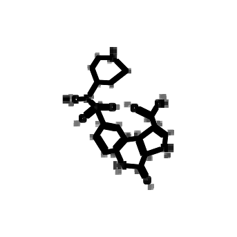 CN(C1CCNCC1)S(=O)(=O)c1ccc2[nH]c(=O)c3[nH]cc(C(=O)O)c3c2c1